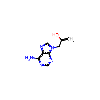 C=C(O)Cn1cnc2c(N)ncnc21